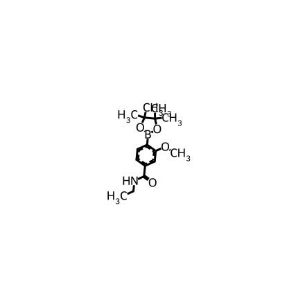 CCNC(=O)c1ccc(B2OC(C)(C)C(C)(C)O2)c(OC)c1